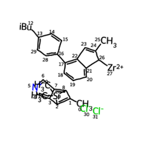 CC1=C2C3=CN=CC3=C1[Si]2(C)C.CCC(C)c1ccc(-c2cccc3c2C=C(C)[CH]3[Zr+2])cc1.[Cl-].[Cl-]